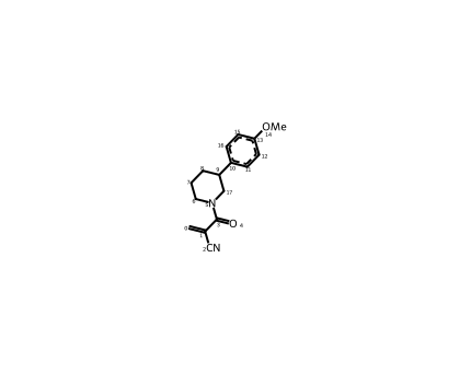 C=C(C#N)C(=O)N1CCCC(c2ccc(OC)cc2)C1